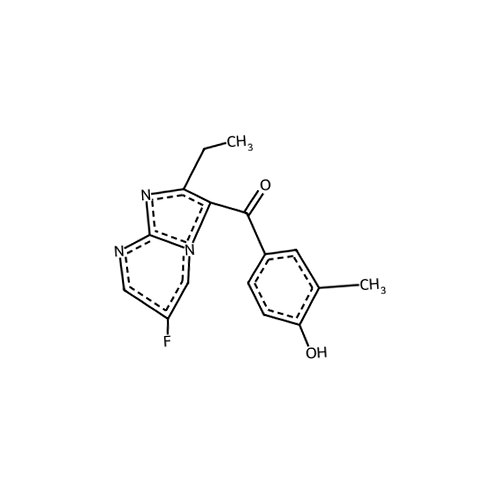 CCc1nc2ncc(F)cn2c1C(=O)c1ccc(O)c(C)c1